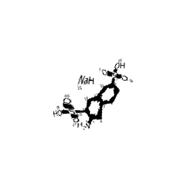 Nc1cc2ccc(S(=O)(=O)O)cc2cc1S(=O)(=O)O.[NaH]